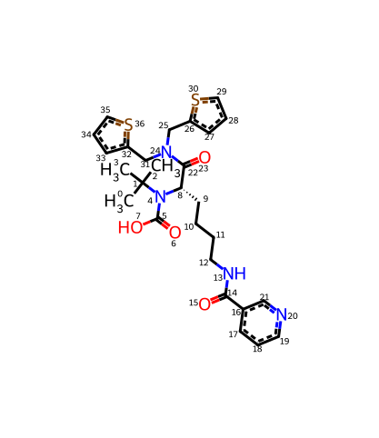 CC(C)(C)N(C(=O)O)[C@@H](CCCCNC(=O)c1cccnc1)C(=O)N(Cc1cccs1)Cc1cccs1